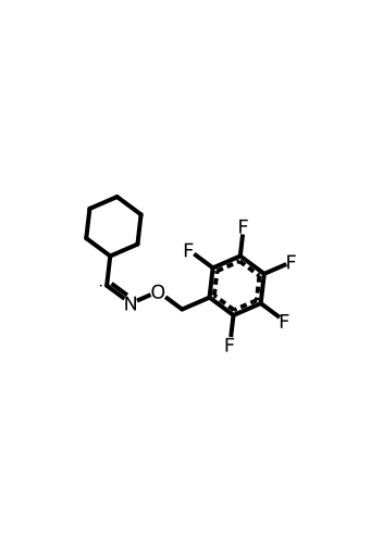 Fc1c(F)c(F)c(CO/N=[C]\C2CCCCC2)c(F)c1F